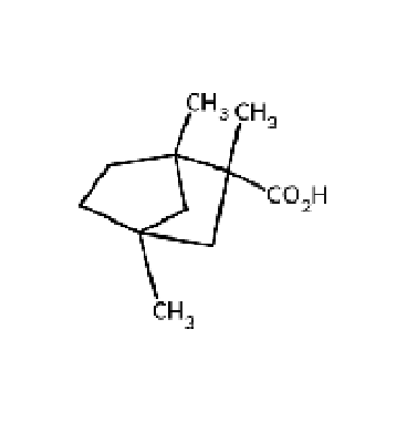 CC12CCC(C)(C1)C(C)(C(=O)O)C2